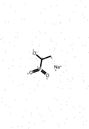 CC([O-])P(=O)=O.[Na+]